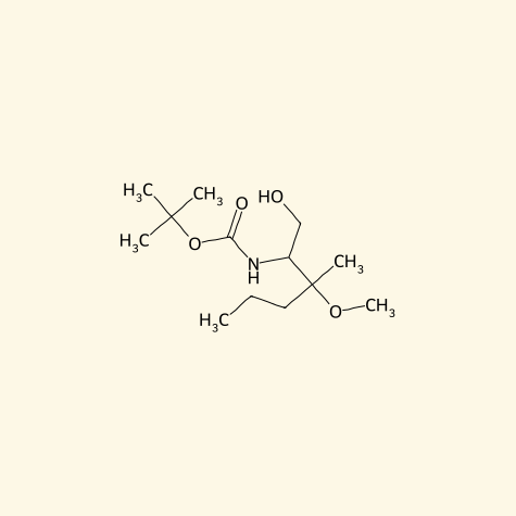 CCCC(C)(OC)C(CO)NC(=O)OC(C)(C)C